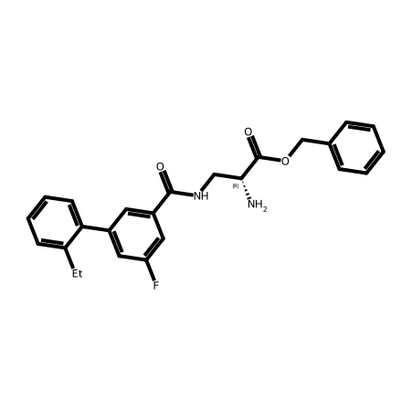 CCc1ccccc1-c1cc(F)cc(C(=O)NC[C@@H](N)C(=O)OCc2ccccc2)c1